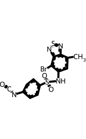 Cc1cc(NS(=O)(=O)c2ccc(N=C=O)cc2)c(Br)c2nsnc12